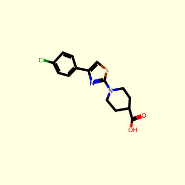 O=C(O)C1CCN(c2nc(-c3ccc(Cl)cc3)cs2)CC1